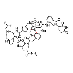 CC(C)(C)c1ccc(CC(NC(=O)C(CCC(N)=O)NC(=O)[C@@H]2CC[C@@H]3CCN(CC(F)F)C[C@H](NC(=O)c4cc5cc(C(F)(F)P(=O)(O)O)ccc5s4)C(=O)N32)C(=O)N2CCN(CCCNc3cccc4c3CN(C3CCC(=O)NC3=O)C4=O)CC2)cc1